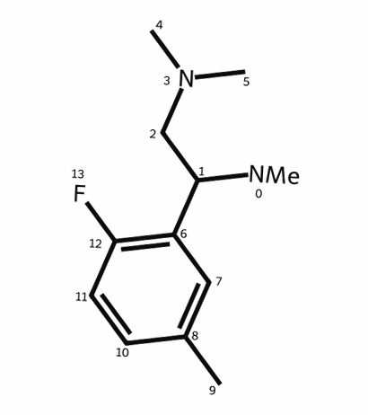 CNC(CN(C)C)c1cc(C)ccc1F